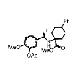 CCC1CCC(NC(=O)c2ccc(OC)c(OC(C)=O)c2)(C(=O)OC)CC1